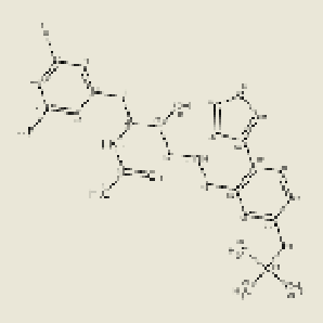 CC(=O)NC(Cc1cc(F)cc(F)c1)C(O)CNCc1cc(CC(C)(C)C)ccc1-c1ccoc1